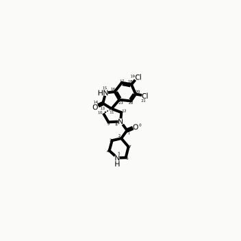 O=C(C1CCNCC1)N1CC[C@]2(C1)C(=O)Nc1cc(Cl)c(Cl)cc12